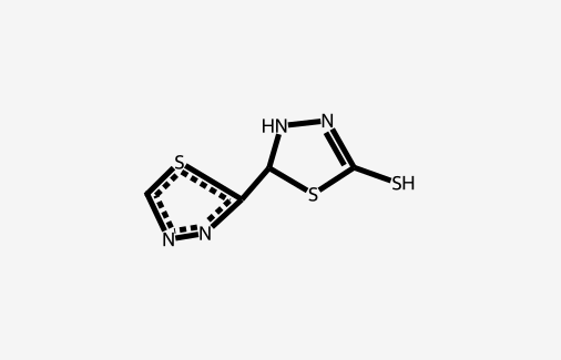 SC1=NNC(c2nncs2)S1